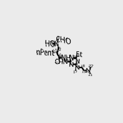 CCCCC[C@H](CN(O)C=O)C(=O)NNc1nc(CC)nc(N(C)CCN(C)C)n1